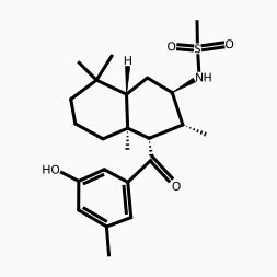 Cc1cc(O)cc(C(=O)[C@H]2[C@@H](C)[C@H](NS(C)(=O)=O)C[C@H]3C(C)(C)CCC[C@]23C)c1